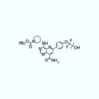 CC(C)(C)OC(=O)N1CCC[C@H](Nc2ncnc3c(C(N)=O)cc(-c4ccc(OC(F)(F)C(C)(C)O)cc4)nc23)C1